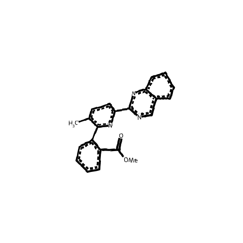 COC(=O)c1ccccc1-c1nc(-c2ncc3ccccc3n2)ccc1C